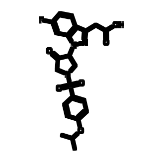 CC(C)Oc1ccc(S(=O)(=O)N2CC(=O)C(n3nc(CC(=O)O)c4ccc(F)cc43)C2)cc1